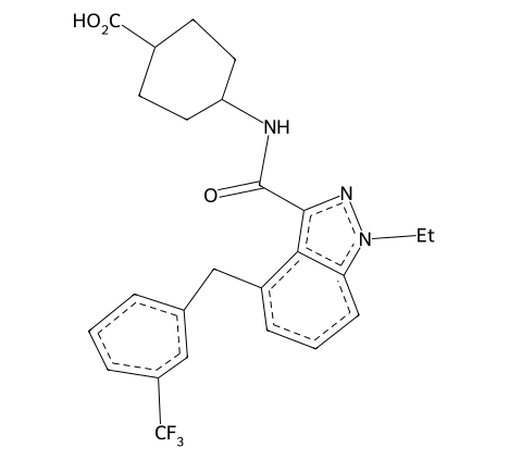 CCn1nc(C(=O)NC2CCC(C(=O)O)CC2)c2c(Cc3cccc(C(F)(F)F)c3)cccc21